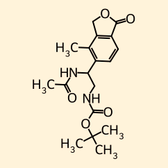 CC(=O)NC(CNC(=O)OC(C)(C)C)c1ccc2c(c1C)COC2=O